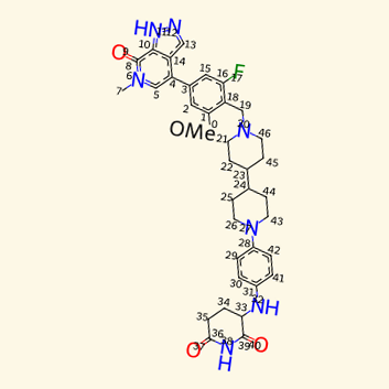 COc1cc(-c2cn(C)c(=O)c3[nH]ncc23)cc(F)c1CN1CCC(C2CCN(c3ccc(NC4CCC(=O)NC4=O)cc3)CC2)CC1